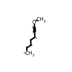 CCCCCC#COC